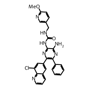 COc1ccc(CNC(=O)Nc2nc(-c3cc(Cl)c4ncccc4c3)c(-c3ccccc3)nc2N)cn1